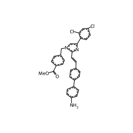 COC(=O)c1ccc(Cn2cc(-c3ccc(Cl)cc3Cl)nc2C=Cc2ccc(-c3ccc(N)cc3)cc2)cc1